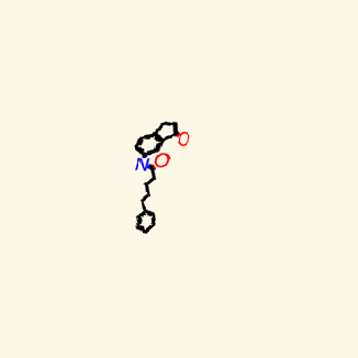 O=C1CCc2ccc3nc(CCCCc4ccccc4)oc3c21